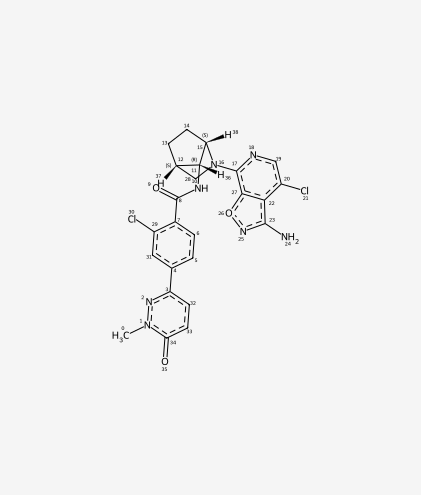 Cn1nc(-c2ccc(C(=O)N[C@@H]3[C@H]4CC[C@@H]3N(c3ncc(Cl)c5c(N)noc35)C4)c(Cl)c2)ccc1=O